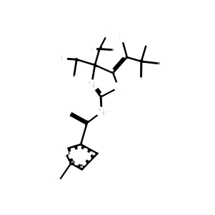 O=C(NC1=NC(C(F)(F)F)(C(F)(F)F)C(=C(F)C(F)(F)F)S1)c1ccc(Br)s1